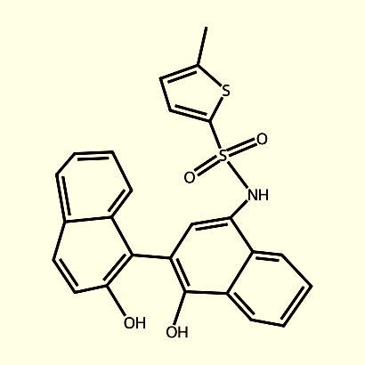 Cc1ccc(S(=O)(=O)Nc2cc(-c3c(O)ccc4ccccc34)c(O)c3ccccc23)s1